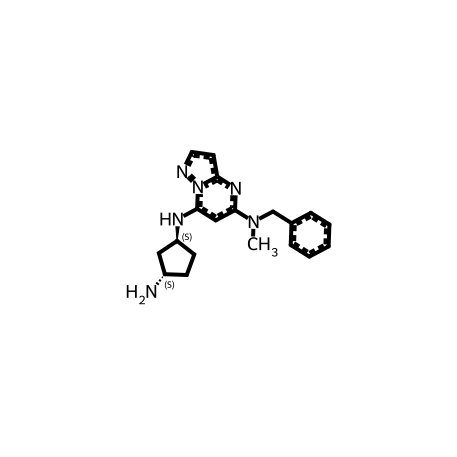 CN(Cc1ccccc1)c1cc(N[C@H]2CC[C@H](N)C2)n2nccc2n1